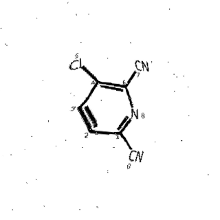 N#Cc1ccc(Cl)c(C#N)n1